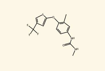 CNC(=O)Nc1ccc(Oc2cc(C(F)(F)F)cs2)c(C)c1